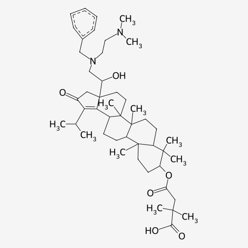 CC(C)C1=C2C3CCC4C5(C)CCC(OC(=O)CC(C)(C)C(=O)O)C(C)(C)C5CCC4(C)C3(C)CCC2(C(O)CN(CCN(C)C)Cc2ccccc2)CC1=O